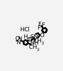 C[C@H](NC(=O)C(C)(C)N1CCC(Oc2cccc(C(F)(F)F)c2)C1)c1ccc(-c2ncon2)cc1.Cl